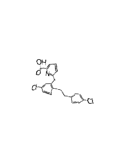 O=C(O)c1cccc(Cc2cc(Cl)ccc2CCc2ccc(Cl)cc2)n1